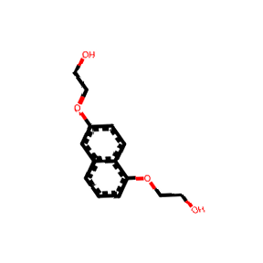 OCCOc1ccc2c(OCCO)cccc2c1